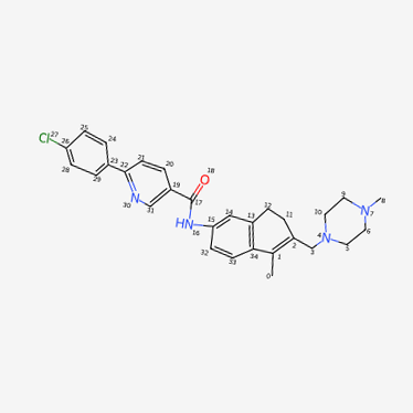 CC1=C(CN2CCN(C)CC2)CCc2cc(NC(=O)c3ccc(-c4ccc(Cl)cc4)nc3)ccc21